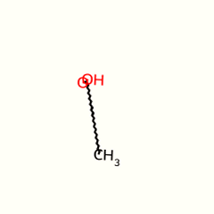 CCCCCCCCCCCCCC/C=C/C=C/CCCCCCCCC(=O)O